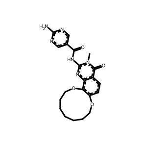 Cn1c(NC(=O)c2cnc(N)nc2)nc2c3c(ccc2c1=O)OCCCCCCCO3